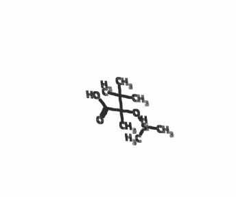 C[SiH](C)OC(C)(C(=O)O)C(C)(C)C